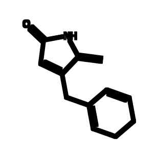 C=C1NC(=O)C=C1CC1=CCCC=C1